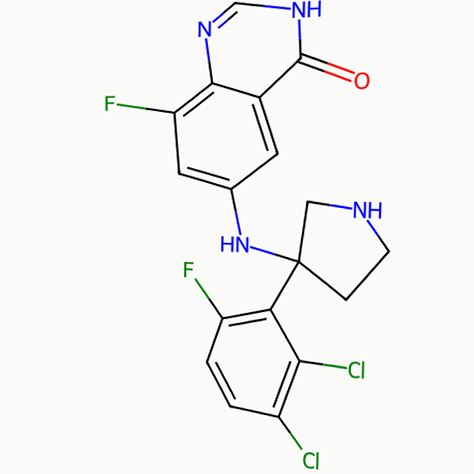 O=c1[nH]cnc2c(F)cc(NC3(c4c(F)ccc(Cl)c4Cl)CCNC3)cc12